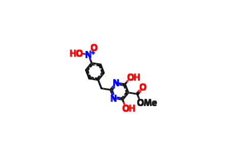 COC(=O)c1c(O)nc(Cc2ccc([N+](=O)O)cc2)nc1O